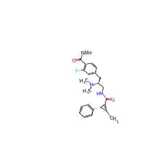 CNC(=O)c1ccc(C[C@@H](CNC(=O)C2=C(C)[C@@H]2c2ccccc2)N(C)C)cc1F